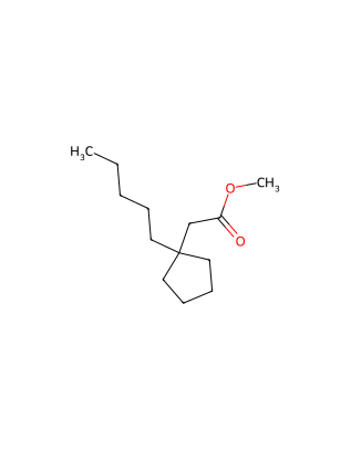 CCCCCC1(CC(=O)OC)CCCC1